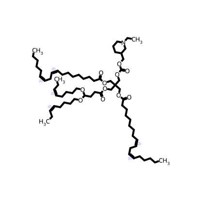 CC/C=C\CCCCOC(CCC(=O)OCC(COC(=O)CCCCCCC/C=C\C/C=C\CCCCC)(COC(=O)CCCCCCC/C=C\C/C=C\CCCCC)COC(=O)OCC1CCCN(CC)C1)OCCCC/C=C\CC